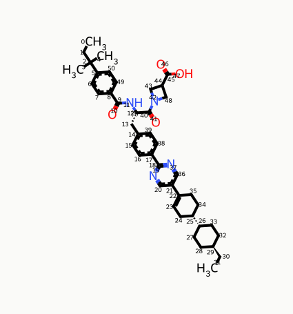 CCC(C)(C)c1ccc(C(=O)N[C@@H](Cc2ccc(-c3ncc(C4=CCC([C@H]5CC[C@H](CC)CC5)CC4)cn3)cc2)C(=O)N2CC(C(=O)O)C2)cc1